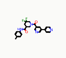 Cc1ccc(NC(=O)C2CN(C(=O)c3cncc(-c4ccncc4)c3)CC(F)(F)C2)cc1